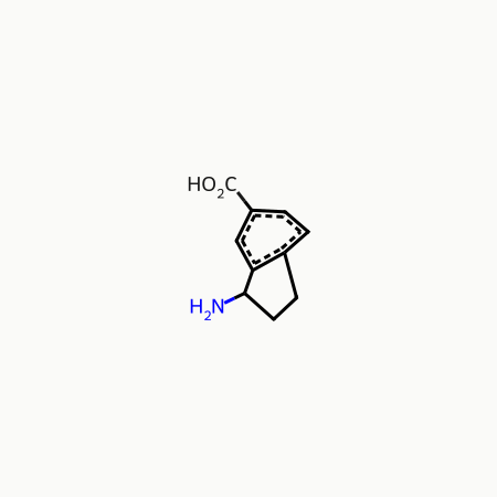 NC1CCc2ccc(C(=O)O)cc21